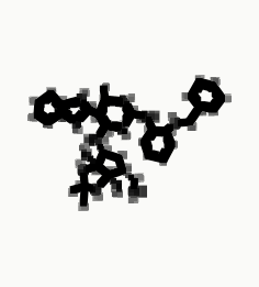 Cc1nc(Nc2ccccc2OCc2ccccc2)nc(N[C@@H]2C[C@H](CO)[C@H]3OC(C)(C)O[C@H]32)c1-c1nc2ccccc2s1